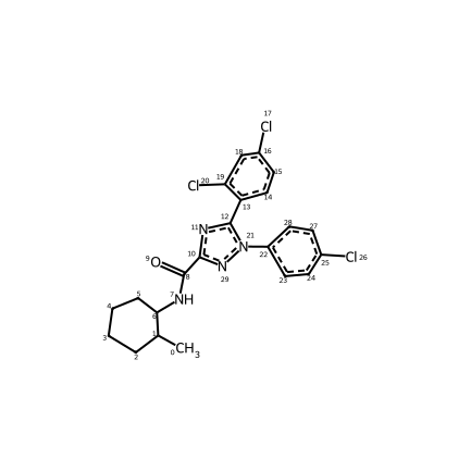 CC1CCCCC1NC(=O)c1nc(-c2ccc(Cl)cc2Cl)n(-c2ccc(Cl)cc2)n1